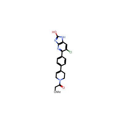 COCC(=O)N1CC=C(c2ccc(-c3nc4nc(O)[nH]c4cc3Cl)cc2)CC1